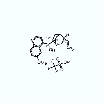 C=C[C@@H]1CN2CCC1C[C@@H]2[C@H](O)c1ccnc2ccc(OC)cc12.O=S(=O)(O)C(F)(F)F